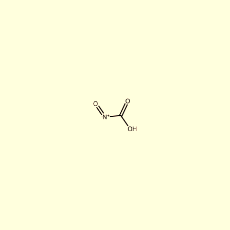 O=[N+]C(=O)O